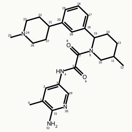 Cc1cc(NC(=O)C(=O)N2CC(C)CCC2c2cccc(C3CCN(C)CC3)c2)cnc1N